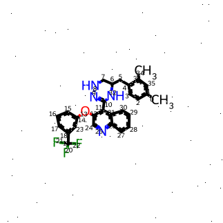 Cc1ccc(CC2CNN=C(c3c(Oc4cccc(C(F)(F)F)c4)cnc4ccccc34)N2)c(C)c1